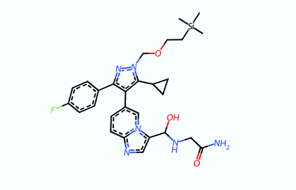 C[Si](C)(C)CCOCn1nc(-c2ccc(F)cc2)c(-c2ccc3ncc(C(O)NCC(N)=O)n3c2)c1C1CC1